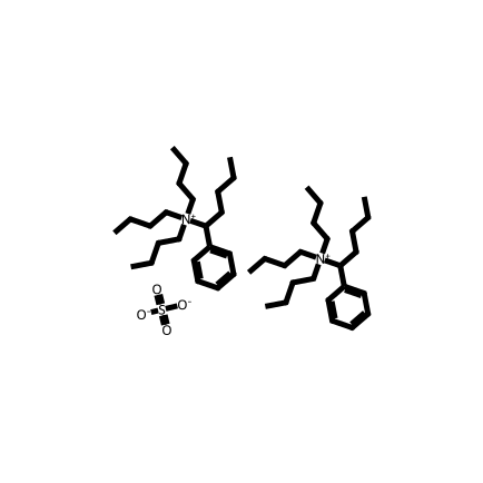 CCCCC(c1ccccc1)[N+](CCCC)(CCCC)CCCC.CCCCC(c1ccccc1)[N+](CCCC)(CCCC)CCCC.O=S(=O)([O-])[O-]